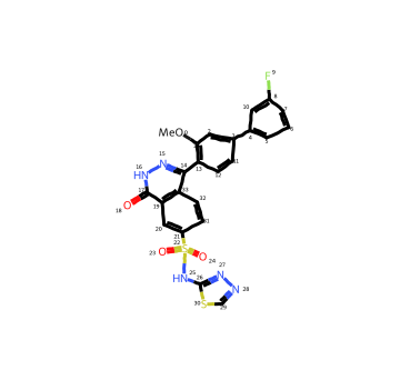 COc1cc(-c2cccc(F)c2)ccc1-c1n[nH]c(=O)c2cc(S(=O)(=O)Nc3nncs3)ccc12